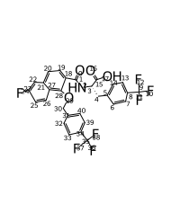 O=C(N[C@@H](Cc1ccc(C(F)(F)F)cc1)C(=O)O)c1ccc2cc(F)ccc2c1OCc1ccc(C(F)(F)F)cc1